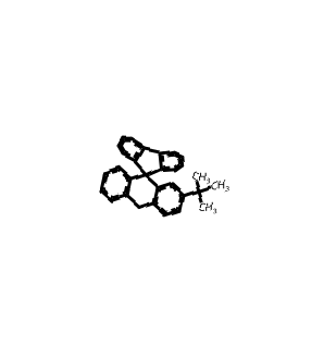 CC(C)(C)c1ccc2c(c1)C1(c3ccccc3C2)c2ccccc2-c2ccccc21